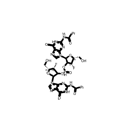 CC(C)C(=O)Nc1nc2c(ncn2C2O[C@H](CO)[C@H](F)C2O[PH](=O)OC2C(n3cnc4c(=O)[nH]c(NC(=O)C(C)C)nc43)O[C@H](CO)[C@@H]2F)c(=O)[nH]1